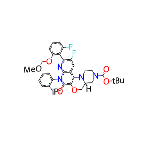 COCOc1cccc(F)c1-c1nc2c(cc1F)c1c(c(=O)n2-c2ccccc2C(C)C)OC[C@H]2CN(C(=O)OC(C)(C)C)CCN12